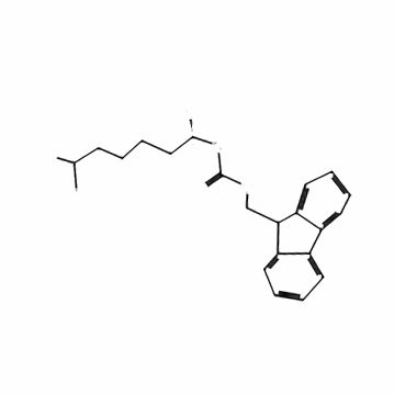 O=C(N[C@@H](CCCCC(F)F)C(=O)O)OCC1c2ccccc2-c2ccccc21